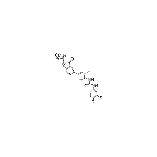 CC(C)C(C(=O)O)N1Cc2ccc(-c3ccc(NC(=O)Nc4ccc(F)c(F)c4)c(F)c3)cc2C1=O